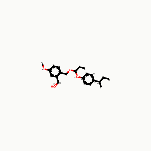 CCC(OCc1ccc(OC)cc1CO)Oc1ccc(C(C)CC)cc1